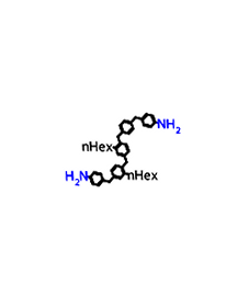 CCCCCCc1cc(Cc2ccc(N)cc2)ccc1Cc1ccc(Cc2ccc(Cc3ccc(N)cc3)cc2)c(CCCCCC)c1